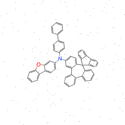 c1ccc(-c2ccc(N(c3ccc4c(c3)-c3ccccc3-c3ccccc3C43c4ccccc4-c4ccccc43)c3ccc4c(c3)oc3ccccc34)cc2)cc1